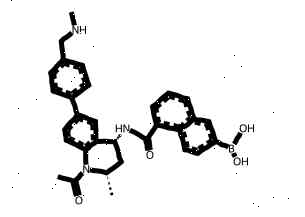 CNCc1ccc(-c2ccc3c(c2)[C@H](NC(=O)c2cccc4cc(B(O)O)ccc24)C[C@H](C)N3C(C)=O)cc1